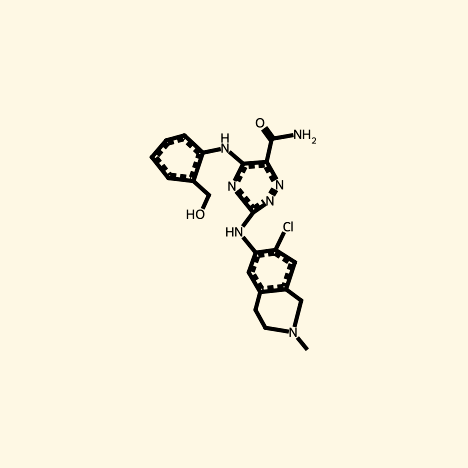 CN1CCc2cc(Nc3nnc(C(N)=O)c(Nc4ccccc4CO)n3)c(Cl)cc2C1